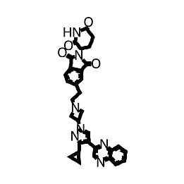 O=C1CCC(N2C(=O)c3ccc(CCN4CC(n5cc(-c6cnc7ccccc7n6)c(C6CC6)n5)C4)cc3C2=O)C(=O)N1